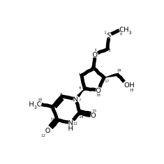 CSCOC1C[C@H](n2cc(C)c(=O)[nH]c2=O)O[C@@H]1CO